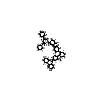 C1=c2sc3cc(-c4cccc5sc6cc(-n7c8ccccc8c8ccccc87)ccc6c45)ccc3c2=CC(C2N=C(c3ccccc3)N=C(c3ccccc3)N2)C1